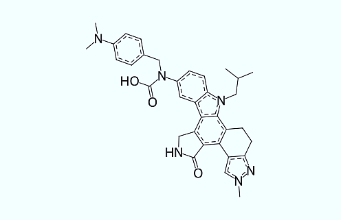 CC(C)Cn1c2ccc(N(Cc3ccc(N(C)C)cc3)C(=O)O)cc2c2c3c(c4c(c21)CCc1nn(C)cc1-4)C(=O)NC3